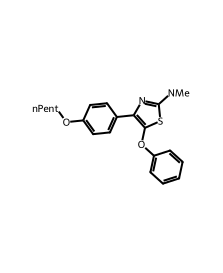 CCCCCOc1ccc(-c2nc(NC)sc2Oc2ccccc2)cc1